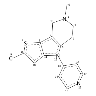 CN1CCc2c(c3sc(Cl)cc3n2-c2ccncc2)C1